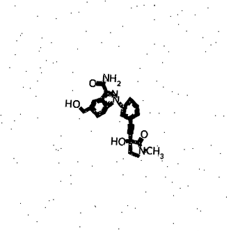 CN1CCC(O)(C#Cc2cccc(-n3nc(C(N)=O)c4cc(CO)ccc43)c2)C1=O